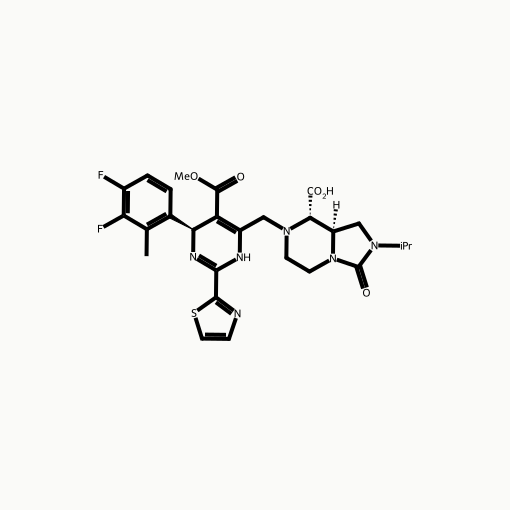 COC(=O)C1=C(CN2CCN3C(=O)N(C(C)C)C[C@@H]3[C@H]2C(=O)O)NC(c2nccs2)=N[C@H]1c1ccc(F)c(F)c1C